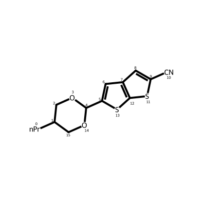 CCCC1COC(c2cc3cc(C#N)sc3s2)OC1